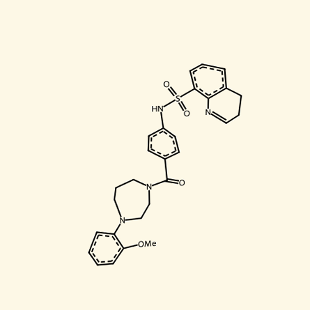 COc1ccccc1N1CCCN(C(=O)c2ccc(NS(=O)(=O)c3cccc4c3N=CCC4)cc2)CC1